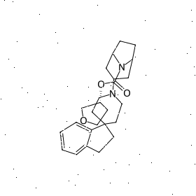 O=C(O[C@@H]1CCOC1)N1C2CCC1CC(N1CCC3(CCc4ccccc43)CC1)C2